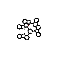 c1ccc2c(c1)-c1ccc3c4ccccc4n(-c4nc(-c5cccc6c5oc5ccccc56)nc(-c5cccc6c5oc5ccccc56)n4)c3c1CC2c1nc2ccccc2o1